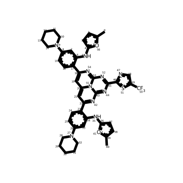 Cc1ccc(Nc2cc(N3CCCCC3)ccc2C2=CC3=CC(c4ccc(N5CCCCC5)cc4Nc4ccc(C)o4)=NC4=NC(c5ncc(C(F)(F)F)s5)=NC(=N2)N34)o1